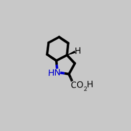 O=C(O)C1C[C@H]2CCCCC2N1